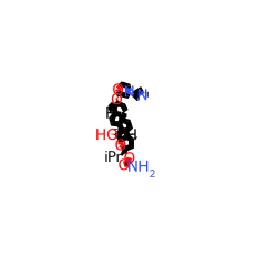 CC(C)[C@@H](OC(N)=O)C1C[C@@H](C)[C@H]2C(O1)[C@H](O)[C@@]1(C)C3CC[C@H]4C(C)(C)[C@@H](O[C@H]5CN(C6CN(C)C6)CCO5)CC[C@@]45C[C@@]35CC[C@]21C